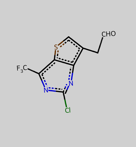 O=CCc1csc2c(C(F)(F)F)nc(Cl)nc12